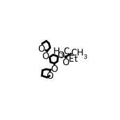 CCC(C)(C)C(=O)OC1CC(OC2CCCCO2)CC(OC2CCCCO2)C1